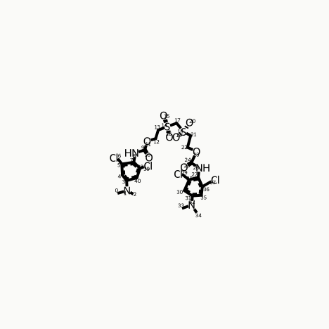 CN(C)c1cc(Cl)c(NC(=O)OCCS(=O)(=O)CS(=O)(=O)CCOC(=O)Nc2c(Cl)cc(N(C)C)cc2Cl)c(Cl)c1